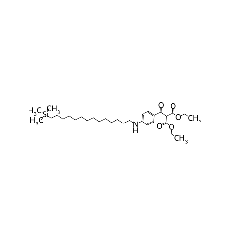 CCOC(=O)C(C(=O)OCC)C(=O)c1ccc(NCCCCCCCCCCCCCC[Si](C)(C)C)cc1